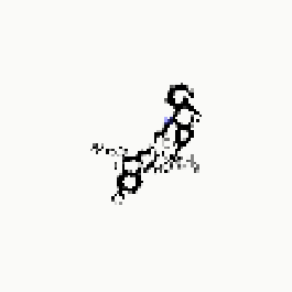 COC(=O)C1CN(CC/C=C2\c3cc(C(C)(C)O)ccc3OCc3ncccc32)CCN1c1ccc(Cl)cc1